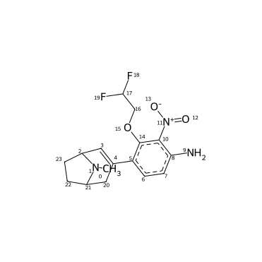 CN1C2C=C(c3ccc(N)c([N+](=O)[O-])c3OCC(F)F)CC1CC2